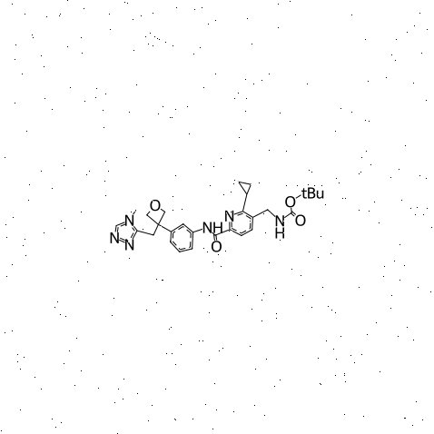 Cn1cnnc1CC1(c2cccc(NC(=O)c3ccc(CNC(=O)OC(C)(C)C)c(C4CC4)n3)c2)COC1